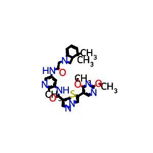 COc1ncc(-c2cn3ncc(C(=O)Nc4cc(NC(=O)CN5CC6C5=CC=CC6(C)C)cnc4C)c3s2)c(OC)n1